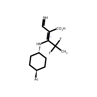 CC(=O)[C@H]1CC[C@H](N/C(=C(\C=N)C(=O)O)C(C)(F)F)CC1